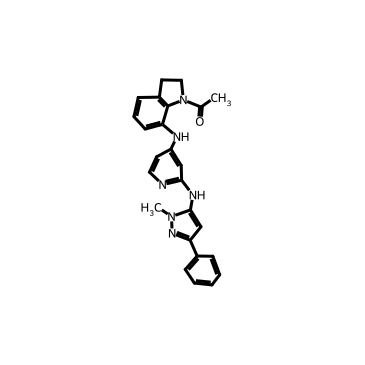 CC(=O)N1CCc2cccc(Nc3ccnc(Nc4cc(-c5ccccc5)nn4C)c3)c21